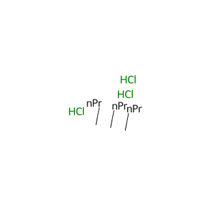 CCCC.CCCC.CCCC.Cl.Cl.Cl